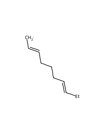 [CH2]C=CCCCC=CCC